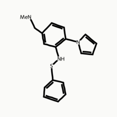 CNCc1ccc(-n2cccc2)c(NSc2ccccc2)c1